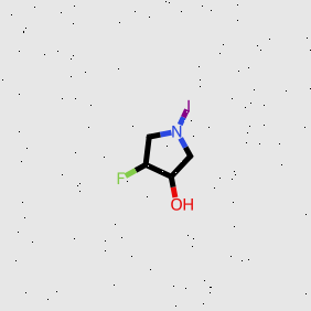 OC1CN(I)CC1F